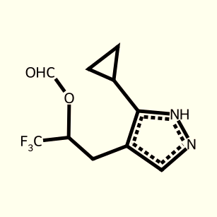 O=COC(Cc1cn[nH]c1C1CC1)C(F)(F)F